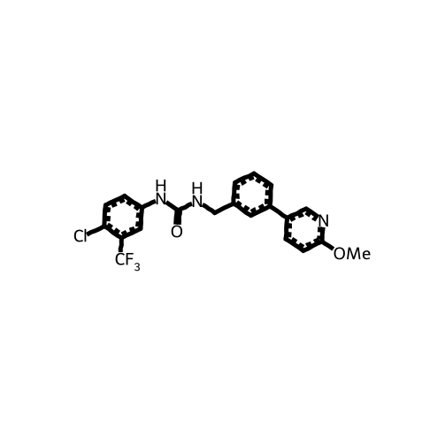 COc1ccc(-c2cccc(CNC(=O)Nc3ccc(Cl)c(C(F)(F)F)c3)c2)cn1